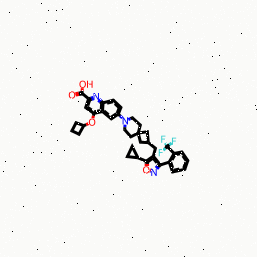 O=C(O)c1cc(OC2CCC2)c2cc(N3CCC4(CC3)CC(Cc3c(-c5ccccc5C(F)(F)F)noc3C3CC3)C4)ccc2n1